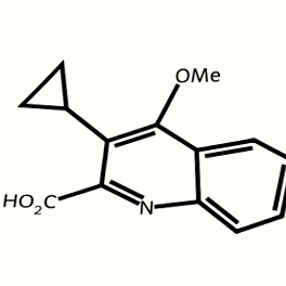 COc1c(C2CC2)c(C(=O)O)nc2ccccc12